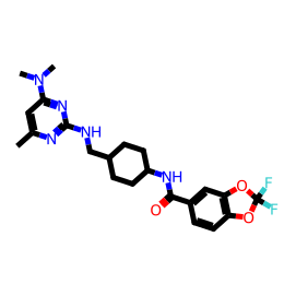 Cc1cc(N(C)C)nc(NCC2CCC(NC(=O)c3ccc4c(c3)OC(F)(F)O4)CC2)n1